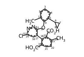 Cc1cccc(C2CC2)c1Oc1nnc(Cl)cc1-c1c(C(=O)O)ccc(C)c1C(=O)O